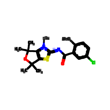 CCCCn1c2c(s/c1=N\C(=O)c1cc(Cl)ccc1OC)C(C)(C)OC2(C)C